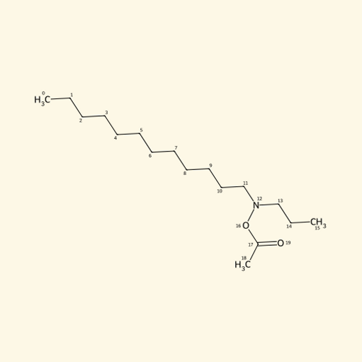 CCCCCCCCCCCCN(CCC)OC(C)=O